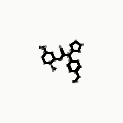 CC(C)[C@@H]1CC[C@@H](C)C[C@H]1OC(=O)[C@H](c1ccc(CBr)cc1)C1CCCC1